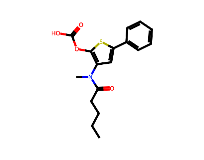 CCCCC(=O)N(C)c1cc(-c2ccccc2)sc1OC(=O)O